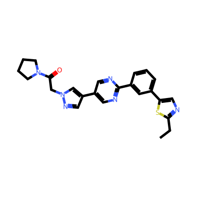 CCc1ncc(-c2cccc(-c3ncc(-c4cnn(CC(=O)N5CCCC5)c4)cn3)c2)s1